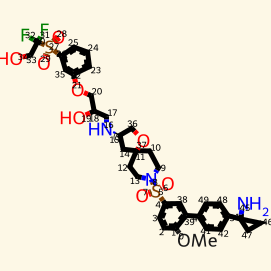 COc1ccc(S(=O)(=O)N2CCC3(CC2)C[C@H](NCC(O)COc2cccc(S(=O)(=O)C(F)(F)CO)c2)CO3)cc1-c1ccc(C2(N)CC2)cc1